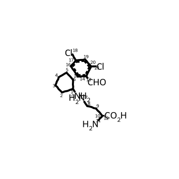 NC1CCCCC1.NCC[C@H](N)C(=O)O.O=Cc1ccc(Cl)cc1Cl